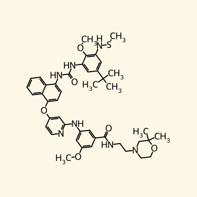 COc1cc(Nc2cc(Oc3ccc(NC(=O)Nc4cc(C(C)(C)C)cc(NSC)c4OC)c4ccccc34)ccn2)cc(C(=O)NCCN2CCOC(C)(C)C2)c1